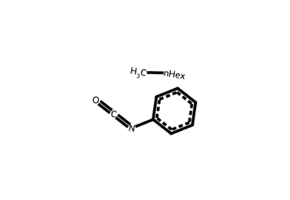 CCCCCCC.O=C=Nc1ccccc1